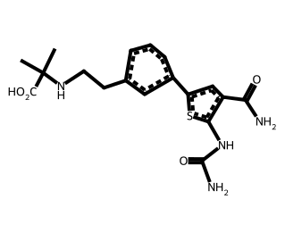 CC(C)(NCCc1cccc(-c2cc(C(N)=O)c(NC(N)=O)s2)c1)C(=O)O